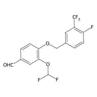 O=Cc1ccc(OCc2ccc(F)c(C(F)(F)F)c2)c(OC(F)F)c1